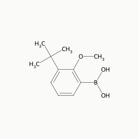 COc1c(B(O)O)cccc1C(C)(C)C